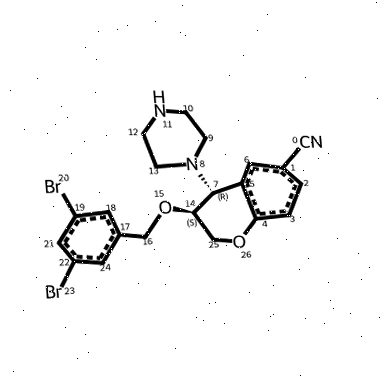 N#Cc1ccc2c(c1)[C@@H](N1CCNCC1)[C@H](OCc1cc(Br)cc(Br)c1)CO2